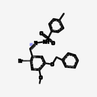 COc1cc(Br)c(/C=N\NS(=O)(=O)c2ccc(C)cc2)cc1OCc1ccccc1